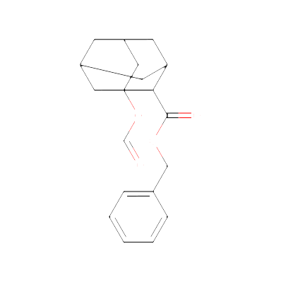 O=[C]OC12CC3CC(CC(C3)C1C(=O)OCc1ccccc1)C2